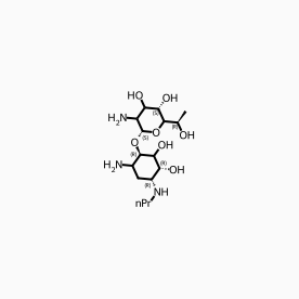 CCCN[C@@H]1CC(N)[C@@H](O[C@H]2OC([C@@H](C)O)[C@@H](O)C(O)C2N)C(O)[C@@H]1O